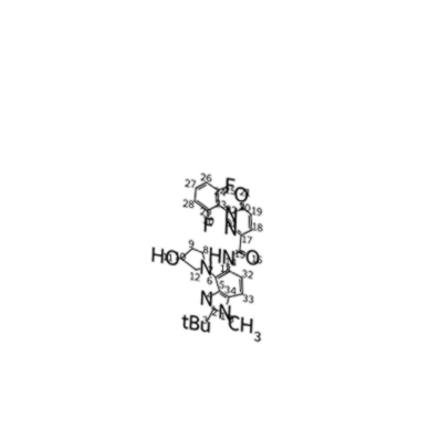 Cn1c(C(C)(C)C)nc2c(N3CC[C@@H](O)C3)c(NC(=O)c3ccc(=O)n(-c4c(F)cccc4F)n3)ccc21